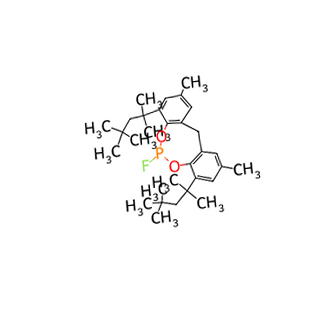 Cc1cc2c(c(C(C)(C)CC(C)(C)C)c1)OP(F)Oc1c(cc(C)cc1C(C)(C)CC(C)(C)C)C2